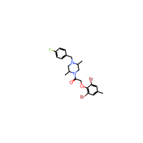 Cc1cc(Br)c(OCC(=O)N2CC(C)N(Cc3ccc(F)cc3)CC2C)c(Br)c1